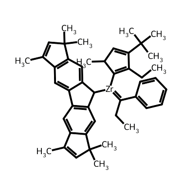 CCC1=[C]([Zr](=[C](CC)c2ccccc2)[CH]2c3cc4c(cc3-c3cc5c(cc32)C(C)(C)C=C5C)C(C)=CC4(C)C)C(C)C=C1C(C)(C)C